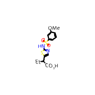 CCC(C(=O)O)c1cnc(NS(=O)(=O)c2cccc(OC)c2)s1